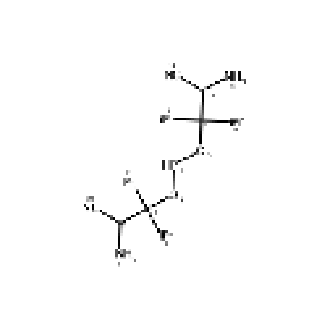 CC(C)C(OPOC(C(C)C)(C(C)C)C(N)C#N)(C(C)C)C(N)C#N